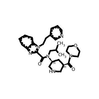 CC(C)CN(C(=O)c1nc2ccccc2n1CCc1cccnc1)[C@@H]1CNC[C@H](C(=O)N2CCOCC2)C1